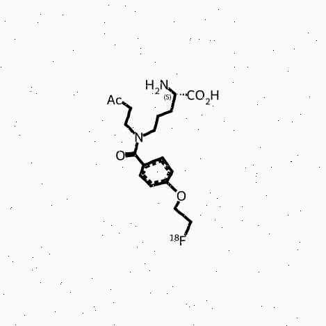 CC(=O)CCN(CCC[C@H](N)C(=O)O)C(=O)c1ccc(OCC[18F])cc1